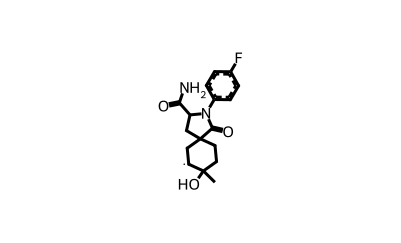 CC1(O)[CH]CC2(CC1)CC(C(N)=O)N(c1ccc(F)cc1)C2=O